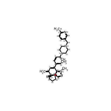 C=C(/C=C(C(/C=C\C(C)N1CCN(Cc2ccc(C)nc2)CC1)=C/C)\c1c(C#N)cnn1C)N1CCCC1